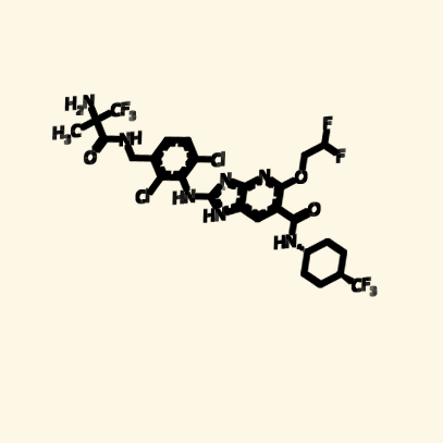 CC(N)(C(=O)NCc1ccc(Cl)c(Nc2nc3nc(OCC(F)F)c(C(=O)N[C@H]4CC[C@H](C(F)(F)F)CC4)cc3[nH]2)c1Cl)C(F)(F)F